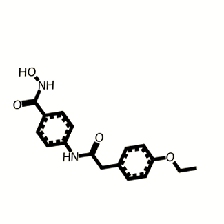 CCOc1ccc(CC(=O)Nc2ccc(C(=O)NO)cc2)cc1